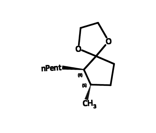 CCCCC[C@@H]1[C@@H](C)CCC12OCCO2